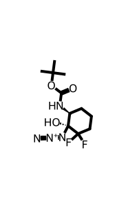 CC(C)(C)OC(=O)N[C@H]1CCCC(F)(F)[C@@]1(O)N=[N+]=[N-]